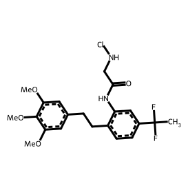 COc1cc(CCc2ccc(C(C)(F)F)cc2NC(=O)CNCl)cc(OC)c1OC